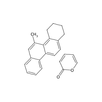 Cc1cc2ccccc2c2ccc3c(c12)CCCC3.O=c1cccco1